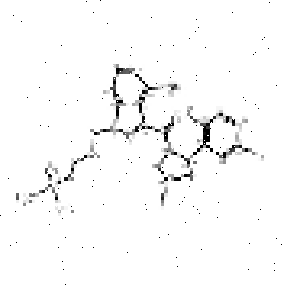 C[Si](C)(C)CCOCn1nc(C(=O)N2C[C@@H](F)C[C@@H]2c2cc(F)ccc2F)c2c(N)ncnc21